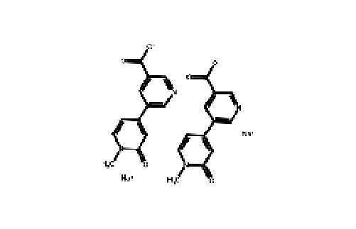 Cn1ccc(-c2cncc(C(=O)[O-])c2)cc1=O.Cn1ccc(-c2cncc(C(=O)[O-])c2)cc1=O.[Na+].[Na+]